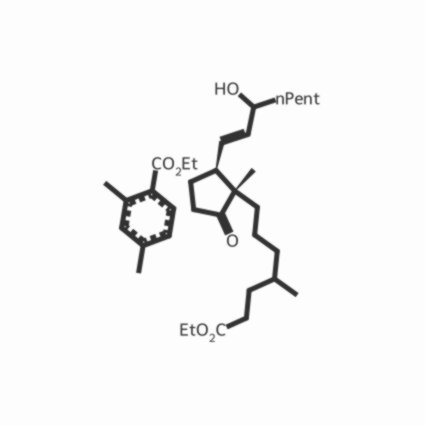 CCCCCC(O)C=C[C@@H]1CCC(=O)[C@@]1(C)CCCC(C)CCC(=O)OCC.CCOC(=O)c1ccc(C)cc1C